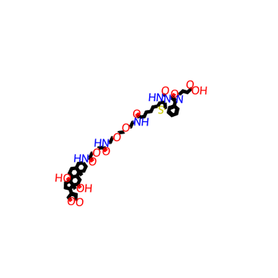 CC12CCC(NC(=O)COCC(=O)NCCOCCOCCNC(=O)CCCCC3SCC4C3NC(=O)N4c3oc(CCC(=O)O)nc3-c3ccccc3)CC1CCC1C2CC(O)C2(C)C(C3=CC(=O)OC3)CCC12O